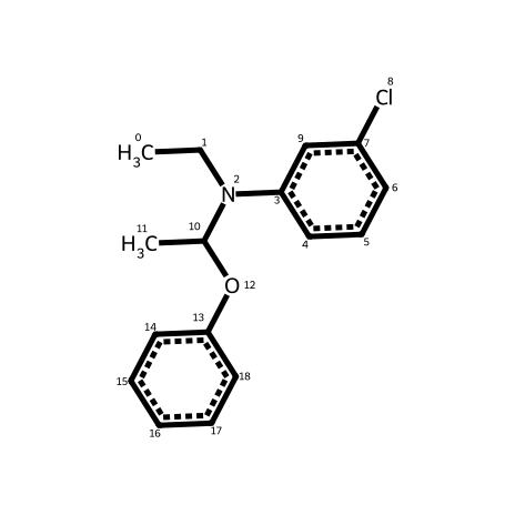 CCN(c1cccc(Cl)c1)C(C)Oc1ccccc1